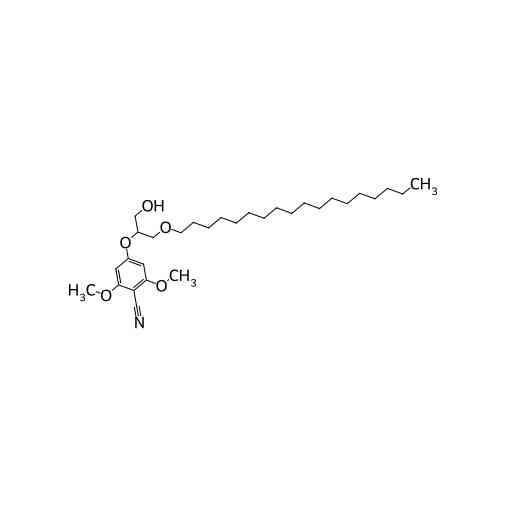 CCCCCCCCCCCCCCCCCCOCC(CO)Oc1cc(OC)c(C#N)c(OC)c1